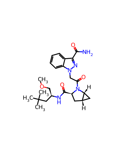 COC[C@H](CC(C)(C)C)NC(=O)[C@@H]1C[C@H]2C[C@H]2N1C(=O)Cn1nc(C(N)=O)c2ccccc21